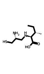 CC[C@H](C)[C@H](NC[C@@H](N)CS)C(=O)O